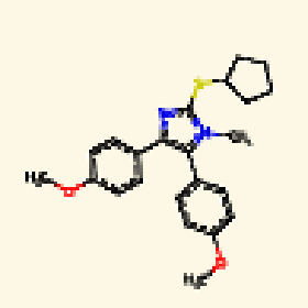 COc1ccc(-c2nc(SC3CCCC3)n(C)c2-c2ccc(OC)cc2)cc1